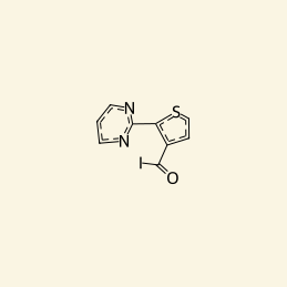 O=C(I)c1ccsc1-c1ncccn1